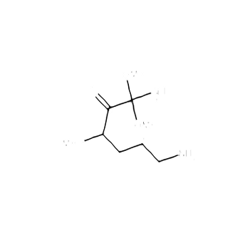 COC(CCCN)C(=O)C([SiH3])(OC)OC